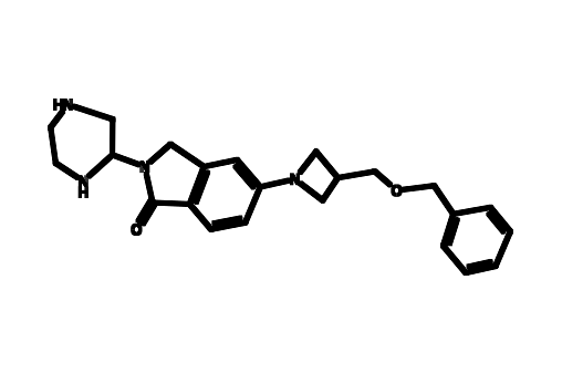 O=C1c2ccc(N3CC(COCc4ccccc4)C3)cc2CN1C1CNCCN1